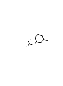 CCC(O)OC1CCCC(C)C1